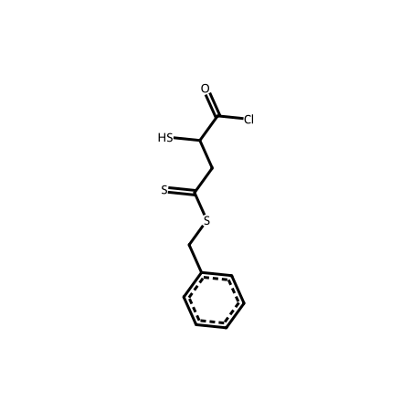 O=C(Cl)C(S)CC(=S)SCc1ccccc1